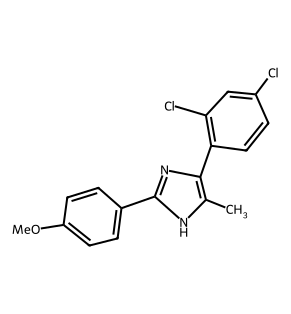 COc1ccc(-c2nc(-c3ccc(Cl)cc3Cl)c(C)[nH]2)cc1